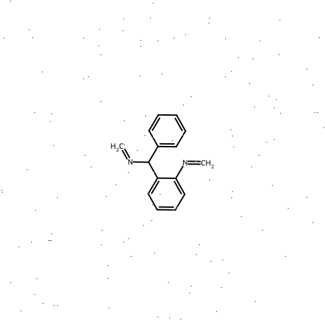 C=Nc1ccccc1C(N=C)c1ccccc1